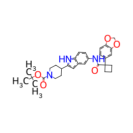 CC(C)(C)OC(=O)N1CCC(c2cc3cc(NC(=O)C4(c5ccc6c(c5)OCO6)CCC4)ccc3[nH]2)CC1